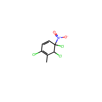 CC1=C(Cl)C=CC(Cl)([N+](=O)[O-])C1Cl